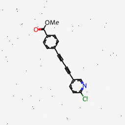 COC(=O)c1ccc(C#CC#Cc2ccc(Cl)nc2)cc1